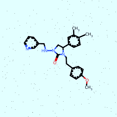 COc1ccc(CCN2C(=O)N(NCc3cccnc3)CC2c2ccc(C)c(C)c2)cc1